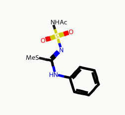 CSC(=NS(=O)(=O)NC(C)=O)Nc1ccccc1